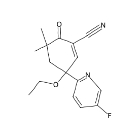 CCOC1(c2ccc(F)cn2)C=C(C#N)C(=O)C(C)(C)C1